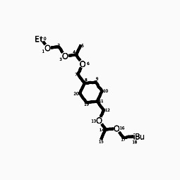 CCOCOC(C)OCC1CCC(COC(C)OCC(C)CC)CC1